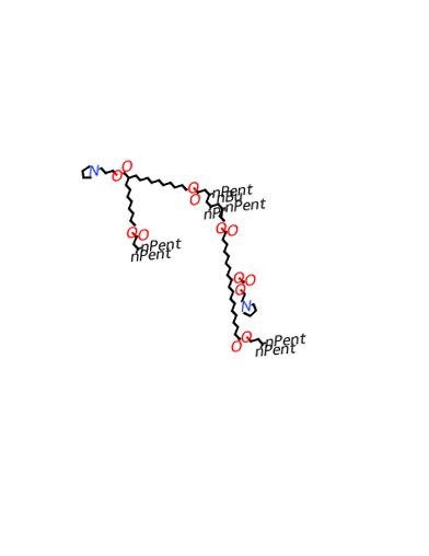 CCCCCC(CCCCC)CCOC(=O)CCCCCCCCCC(CCCCCCCC(=O)OCCC(CCCCC)C(CCCC)C(CCC)CC(CCCCC)CC(=O)OCCCCCCCCCCC(CCCCCCCCOC(=O)CC(CCCCC)CCCCC)C(=O)OCCCN1CCCC1)OC(=O)OCCN1CCCC1